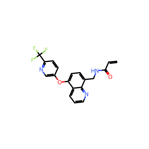 C=CC(=O)NCc1ccc(Oc2ccc(C(F)(F)F)nc2)c2cccnc12